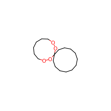 C1CCCCCC2(CCCCC1)OOCCCCCCOO2